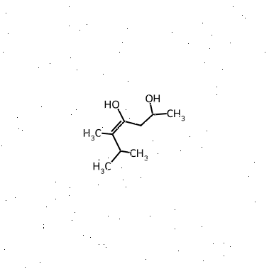 C/C(=C(\O)CC(C)O)C(C)C